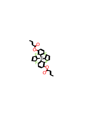 CC=CC(=O)Oc1ccc(F)[c]([Ti]([C]2=CC=CC2)([C]2=CC=CC2)[c]2c(F)ccc(OC(=O)C=CC)c2F)c1F